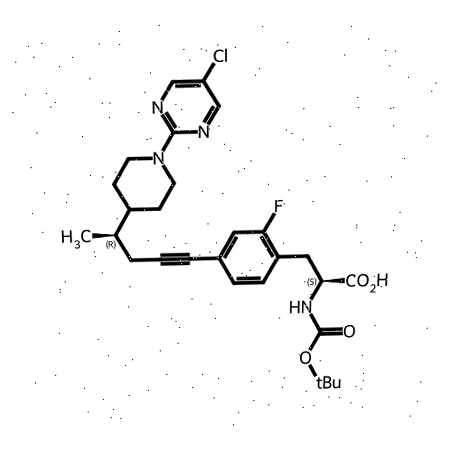 C[C@H](CC#Cc1ccc(C[C@H](NC(=O)OC(C)(C)C)C(=O)O)c(F)c1)C1CCN(c2ncc(Cl)cn2)CC1